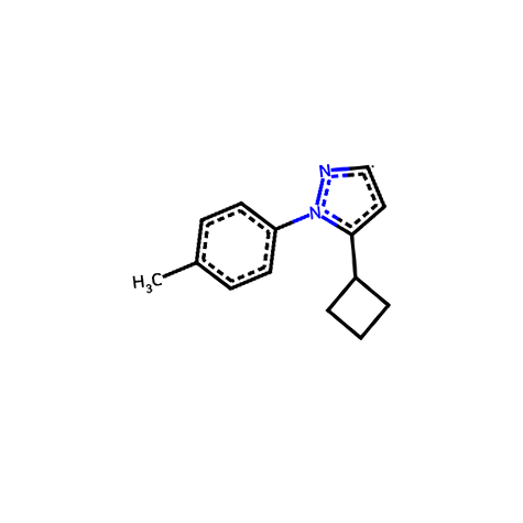 Cc1ccc(-n2n[c]cc2C2CCC2)cc1